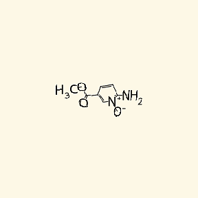 COC(=O)c1ccc(N)[n+]([O-])c1